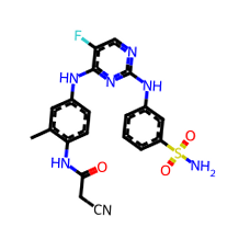 Cc1cc(Nc2nc(Nc3cccc(S(N)(=O)=O)c3)ncc2F)ccc1NC(=O)CC#N